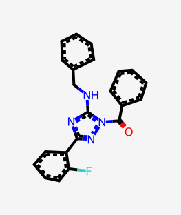 O=C(c1ccccc1)n1nc(-c2ccccc2F)nc1NCc1ccccc1